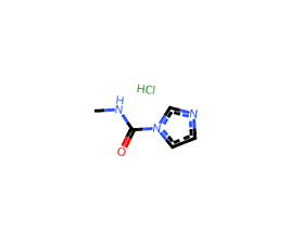 CNC(=O)n1ccnc1.Cl